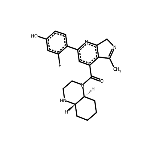 CC1=NCc2nc(-c3ccc(O)cc3F)cc(C(=O)N3CCN[C@H]4CCCC[C@@H]43)c21